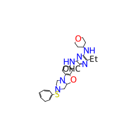 CCc1nc(C=O)c(Nc2ccc3c(c2)OCC2CN(SC4=CCC=CC=C4)CCN32)nc1NC1CCOCC1